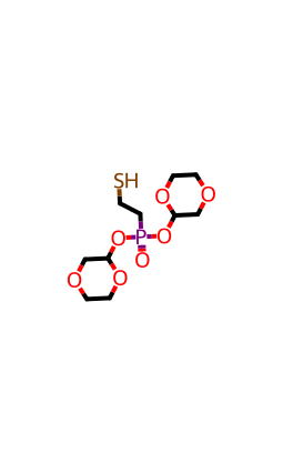 O=P(CCS)(OC1COCCO1)OC1COCCO1